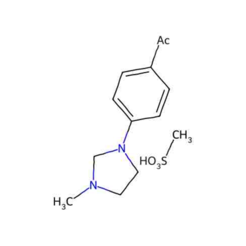 CC(=O)c1ccc(N2CCN(C)C2)cc1.CS(=O)(=O)O